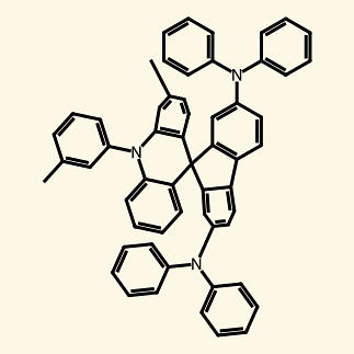 Cc1cccc(N2c3ccccc3C3(c4cc(N(c5ccccc5)c5ccccc5)ccc4-c4ccc(N(c5ccccc5)c5ccccc5)cc43)c3ccc(C)cc32)c1